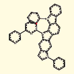 c1ccc(-n2ccc3cc4c(cc32)c2ccc3c5ccccc5n(-c5ccccc5)c3c2n4-c2cccc(-c3cccnc3)n2)cc1